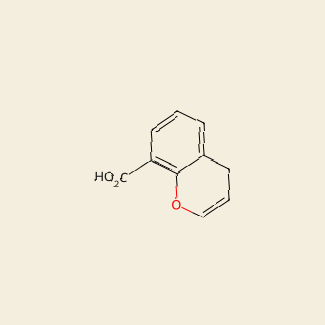 O=C(O)c1cccc2c1OC=CC2